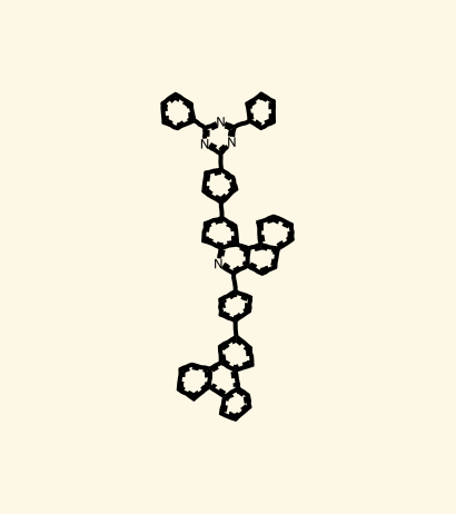 c1ccc(-c2nc(-c3ccccc3)nc(-c3ccc(-c4ccc5nc(-c6ccc(-c7ccc8c9ccccc9c9ccccc9c8c7)cc6)c6ccc7ccccc7c6c5c4)cc3)n2)cc1